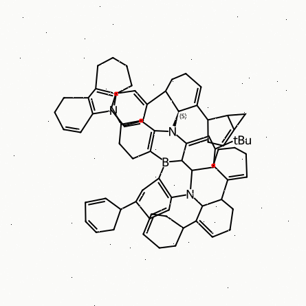 CC(C)(C)C1C=C2C3B(C4=C(C=C(n5c6c(c7c5CCCC7)CCC=C6)CC4)N2[C@@H]2C(C4CC=C5CC54)=CCCC2C2=CCCCC2)c2cc(C4C=CC=CC4)ccc2N(C2C(C4CC=CCC4)=CCCC2C2=CCCCC2)C3C1